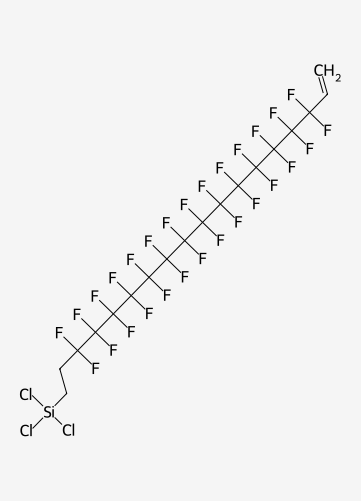 C=CC(F)(F)C(F)(F)C(F)(F)C(F)(F)C(F)(F)C(F)(F)C(F)(F)C(F)(F)C(F)(F)C(F)(F)C(F)(F)C(F)(F)C(F)(F)C(F)(F)CC[Si](Cl)(Cl)Cl